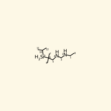 CCNCNCC(C)(C)[SiH2]C(C)C